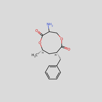 C[C@H]1C[C@@H](Cc2ccccc2)C(=O)OCC(N)C(=O)O1